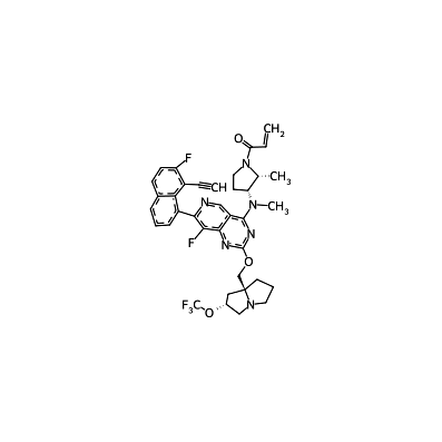 C#Cc1c(F)ccc2cccc(-c3ncc4c(N(C)[C@@H]5CCN(C(=O)C=C)[C@@H]5C)nc(OC[C@@]56CCCN5C[C@H](OC(F)(F)F)C6)nc4c3F)c12